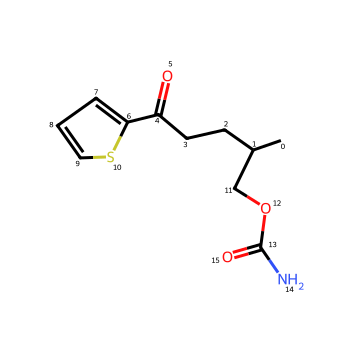 CC(CCC(=O)c1cccs1)COC(N)=O